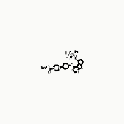 CC(C)(C)OC(=O)N1CCN(C2CCC(Oc3ncnc4sc5c(c34)[C@@H](CO[Si](C)(C)C(C)(C)C)CC5)CC2)CC1